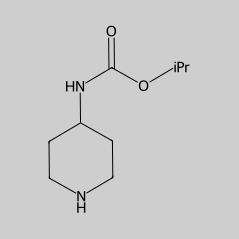 CC(C)OC(=O)NC1CCNCC1